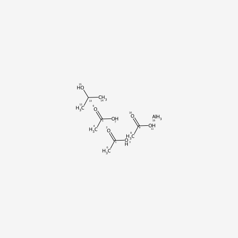 CC(=O)O.CC(=O)O.CC(=O)O.CC(C)O.[AlH3]